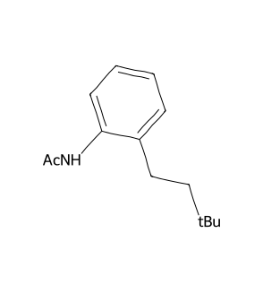 CC(=O)Nc1ccccc1CCC(C)(C)C